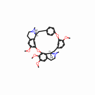 COc1ccc2cc1Oc1ccc(cc1)C[C@@H]1c3cc(c(OC)cc3CCN1C)Oc1c(OC)c(OC)cc3c1[C@H](C2)N(C)CC3